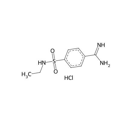 CCNS(=O)(=O)c1ccc(C(=N)N)cc1.Cl